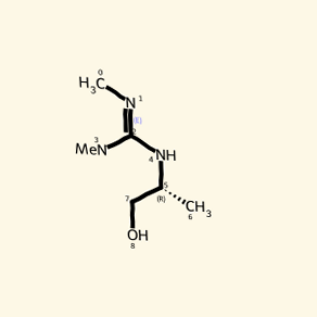 C/N=C(\NC)N[C@H](C)CO